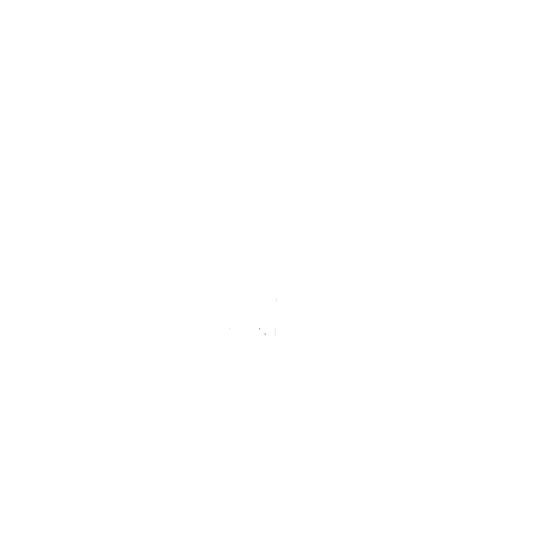 O=C1NC2(CCCCc3ccccc32)c2ccccc21